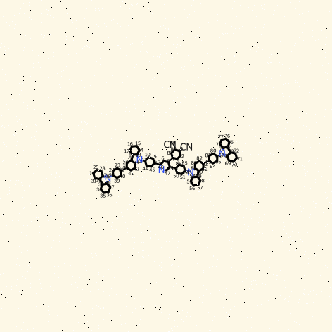 N#Cc1ccc(-c2cc(-c3ccc(-n4c5ccccc5c5cc(-c6ccc(-n7c8ccccc8c8ccccc87)cc6)ccc54)cc3)ncc2-c2ccc(-n3c4ccccc4c4cc(-c5ccc(-n6c7ccccc7c7ccccc76)cc5)ccc43)cc2)cc1C#N